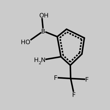 Nc1c(B(O)O)cccc1C(F)(F)F